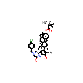 CC(C)C1=C2[C@H]3CC[C@@H]4[C@@]5(C)CC[C@H](OC(=O)CC(C)(C)C(=O)O)C(C)(C)[C@@H]5CC[C@@]4(C)[C@]3(C)CC[C@@]2([C@H]2CN(Cc3ccc(Cl)cc3)CC(=O)N2C)CC1=O